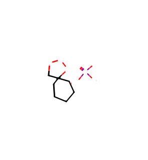 C1CCC2(CC1)COOO2.O=P(O)(O)O